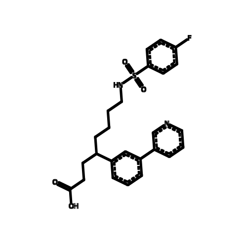 O=C(O)CCC(CCCCNS(=O)(=O)c1ccc(F)cc1)c1cccc(-c2cccnc2)c1